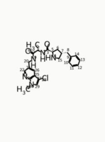 C[C@H](NC(=O)[C@H]1C[C@H](Cc2ccccc2)CN1)C(=O)NCc1cnc2c(c1)c(Cl)cn2C